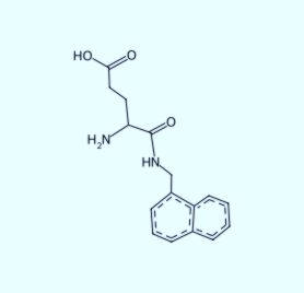 NC(CCC(=O)O)C(=O)NCc1cccc2ccccc12